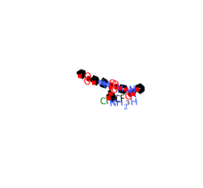 Nc1c(Cl)cc(C[C@@H](OC(=O)N2CCC(n3nc(-c4ccccc4)[nH]c3=O)CC2)C(=O)N2CCN(c3ccc(C(=O)Oc4ccccc4)cc3)CC2)cc1C(F)(F)F